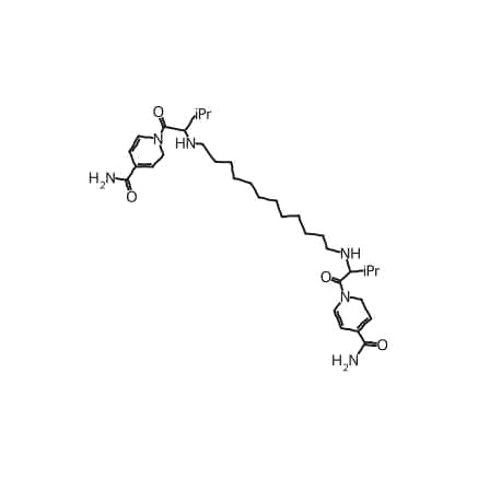 CC(C)C(NCCCCCCCCCCCCNC(C(=O)N1C=CC(C(N)=O)=CC1)C(C)C)C(=O)N1C=CC(C(N)=O)=CC1